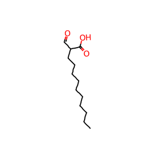 CCCCCCCCCCC(C=O)C(=O)O